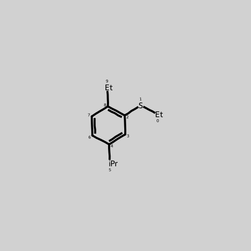 CCSc1cc(C(C)C)ccc1CC